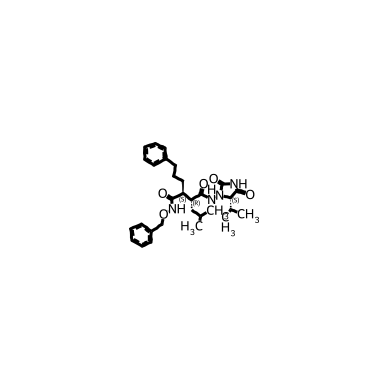 CC(C)C[C@@H](C(=O)NN1C(=O)NC(=O)[C@@H]1C(C)C)[C@H](CCCc1ccccc1)C(=O)NOCc1ccccc1